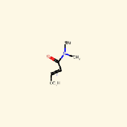 CN(C(=O)/C=C/C(=O)O)C(C)(C)C